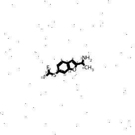 CC(N)c1cc2ccc(SC(F)F)cc2o1